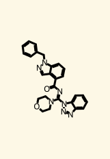 O=C(N=C(N1CCOCC1)n1nnc2ccccc21)c1cccc2c1cnn2Cc1ccccc1